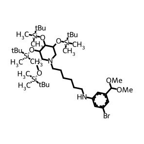 COC(OC)c1cc(Br)cc(NCCCCCCN2CC(O[Si](C)(C)C(C)(C)C)C(O[Si](C)(C)C(C)(C)C)C(O[Si](C)(C)C(C)(C)C)[C@H]2CO[Si](C)(C)C(C)(C)C)c1